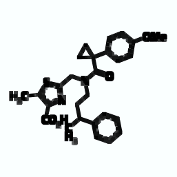 COc1ccc(C2(C(=O)N(CCC(C)c3ccccc3)Cc3nc(C(=O)O)c(C)s3)CC2)cc1